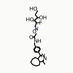 CC1=NN=C(c2ccc(CNC(=O)CO/N=C/[C@H](F)[C@@H](O)[C@H](O)CCO)cc2)C2CCCCCCC12